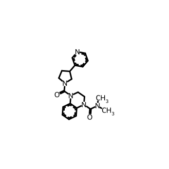 CN(C)C(=O)N1CCN(C(=O)N2CCC(c3cccnc3)C2)c2ccccc21